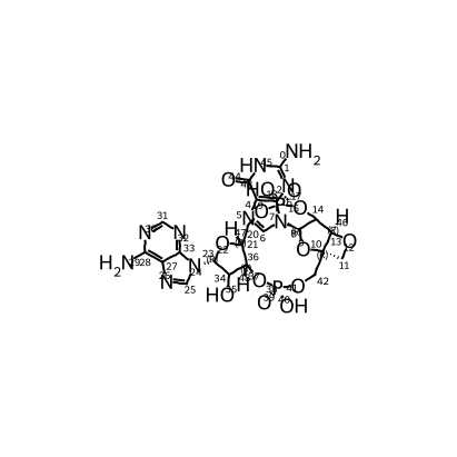 Nc1nc2c(ncn2[C@@H]2O[C@@]34CO[C@@H]3C2OP(=O)(O)OC[C@H]2O[C@@H](n3cnc5c(N)ncnc53)C(O)[C@H]2OP(=O)(O)OC4)c(=O)[nH]1